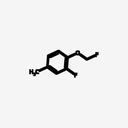 Cc1ccc(OCF)c(F)c1